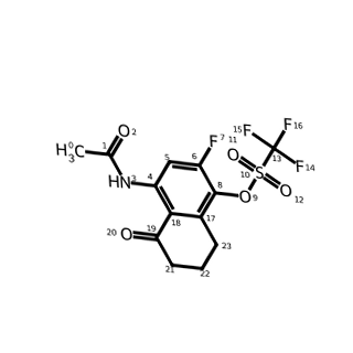 CC(=O)Nc1cc(F)c(OS(=O)(=O)C(F)(F)F)c2c1C(=O)CCC2